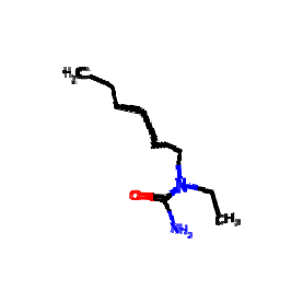 [CH2]CCCCCN(CC)C(N)=O